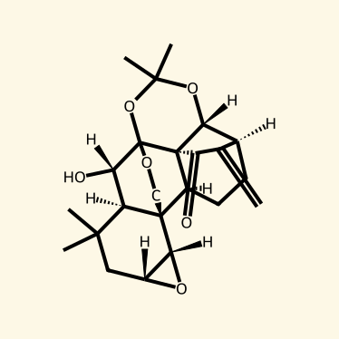 C=C1C(=O)[C@@]23[C@@H]4OC(C)(C)OC25OC[C@]2([C@@H]6O[C@@H]6CC(C)(C)[C@H]2[C@@H]5O)[C@@H]3CC[C@@H]14